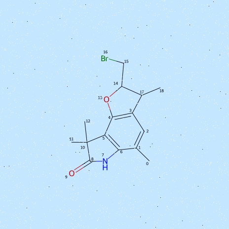 Cc1cc2c(c3c1NC(=O)C3(C)C)OC(CBr)C2C